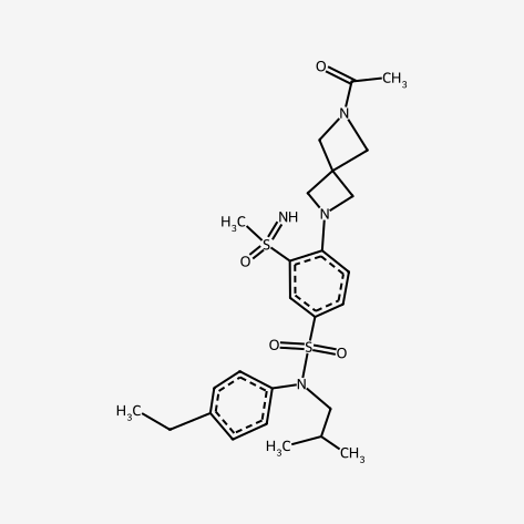 CCc1ccc(N(CC(C)C)S(=O)(=O)c2ccc(N3CC4(CN(C(C)=O)C4)C3)c(S(C)(=N)=O)c2)cc1